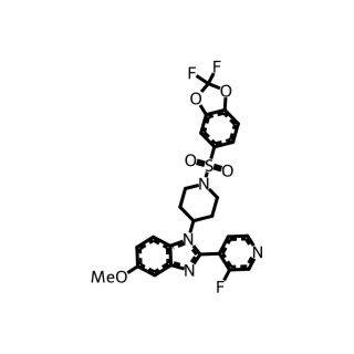 COc1ccc2c(c1)nc(-c1ccncc1F)n2C1CCN(S(=O)(=O)c2ccc3c(c2)OC(F)(F)O3)CC1